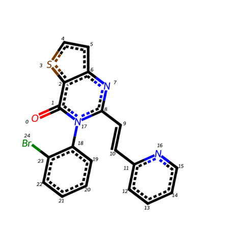 O=c1c2sccc2nc(C=Cc2ccccn2)n1-c1ccccc1Br